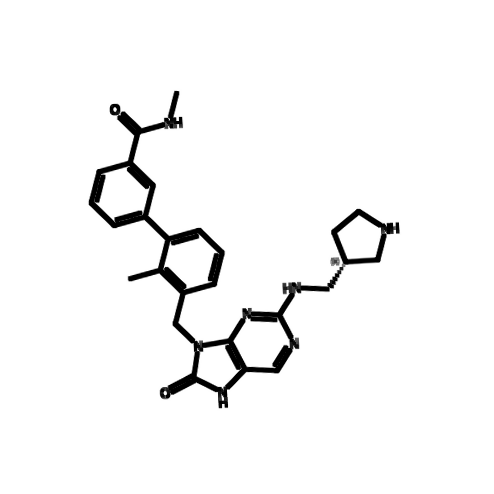 CNC(=O)c1cccc(-c2cccc(Cn3c(=O)[nH]c4cnc(NC[C@@H]5CCNC5)nc43)c2C)c1